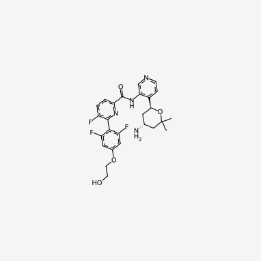 CC1(C)C[C@H](N)C[C@@H](c2ccncc2NC(=O)c2ccc(F)c(-c3c(F)cc(OCCO)cc3F)n2)O1